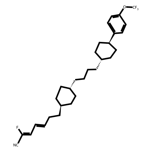 N#CC(F)=CC=CCC[C@H]1CC[C@H](CCCC[C@H]2CC[C@H](c3ccc(OC(F)(F)F)cc3)CC2)CC1